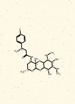 CN[C@@H]1[C@H](O)[C@H](NC)C2O[C@]3(O)C(OC2[C@@H]1O)O[C@H](C)C[C@H]3NC(=O)C[C@@H](N)c1ccc(F)cc1